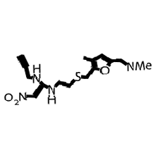 C#CCNC(=C[N+](=O)[O-])NCCSCc1oc(CNC)cc1C